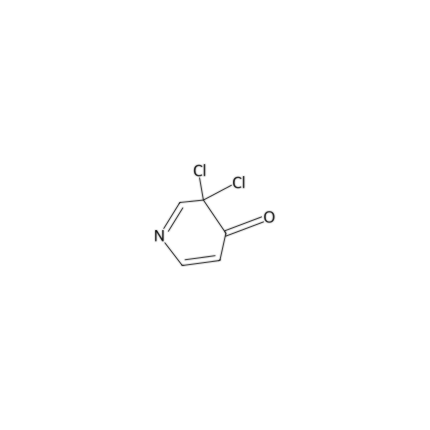 O=C1C=CN=CC1(Cl)Cl